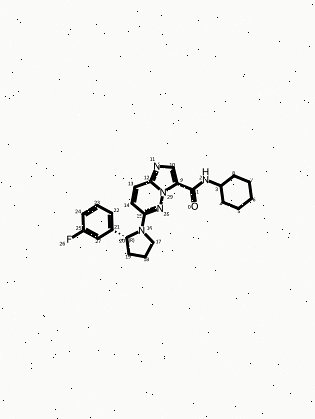 O=C(NC1CCCCC1)c1cnc2ccc(N3CCC[C@@H]3c3cccc(F)c3)nn12